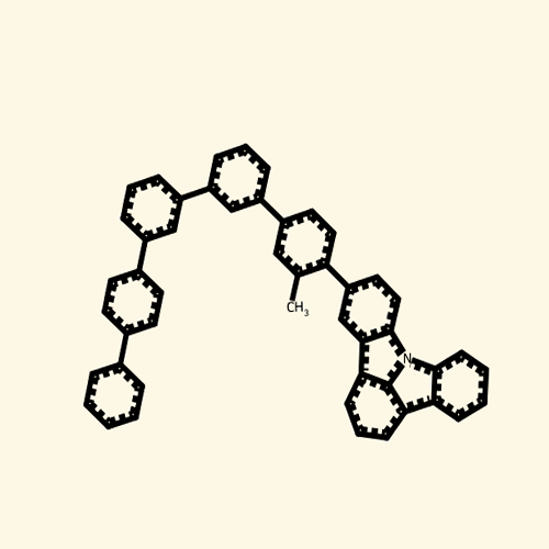 Cc1cc(-c2cccc(-c3cccc(-c4ccc(-c5ccccc5)cc4)c3)c2)ccc1-c1ccc2c(c1)c1cccc3c4ccccc4n2c31